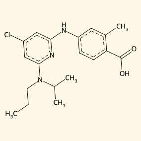 CCCN(c1cc(Cl)cc(Nc2ccc(C(=O)O)c(C)c2)n1)C(C)C